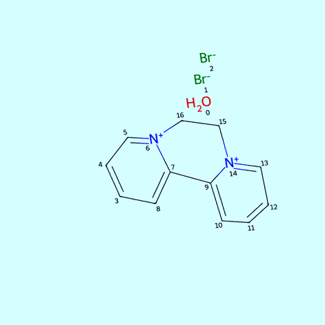 O.[Br-].[Br-].c1cc[n+]2c(c1)-c1cccc[n+]1CC2